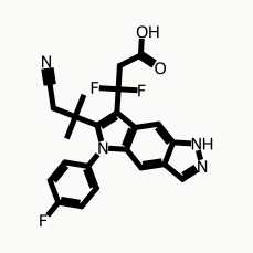 CC(C)(CC#N)c1c(C(F)(F)CC(=O)O)c2cc3[nH]ncc3cc2n1-c1ccc(F)cc1